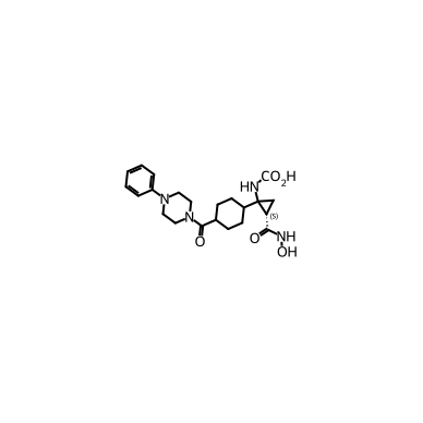 O=C(O)NC1(C2CCC(C(=O)N3CCN(c4ccccc4)CC3)CC2)C[C@@H]1C(=O)NO